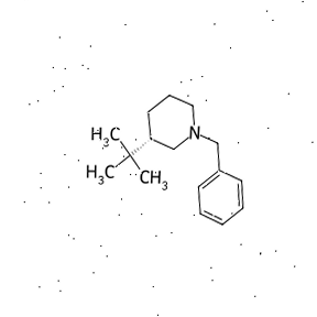 CC(C)(C)[C@@H]1CCCN(Cc2ccccc2)C1